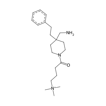 C[N+](C)(C)CCCC(=O)N1CCC(CN)(CCc2ccccc2)CC1